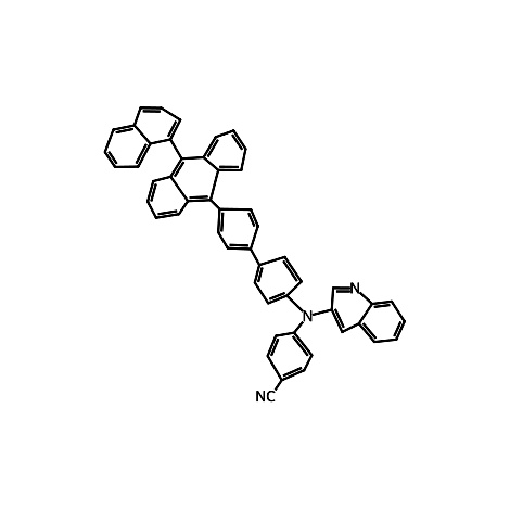 N#Cc1ccc(N(c2ccc(-c3ccc(-c4c5ccccc5c(-c5cccc6ccccc56)c5ccccc45)cc3)cc2)c2cnc3ccccc3c2)cc1